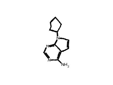 Nc1ncnc2c1ccn2C1CCCC1